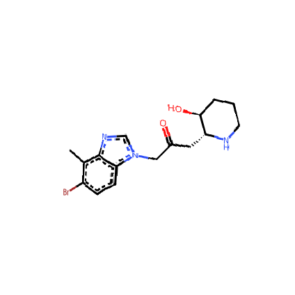 Cc1c(Br)ccc2c1ncn2CC(=O)C[C@H]1NCCC[C@@H]1O